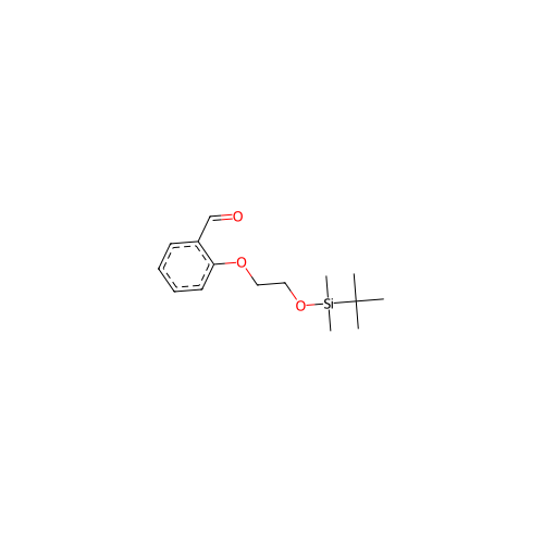 CC(C)(C)[Si](C)(C)OCCOc1ccccc1C=O